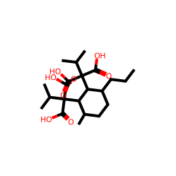 CCCC1CCC(C)C(C(C(=O)O)(C(=O)O)C(C)C)C1C(C(=O)O)(C(=O)O)C(C)C